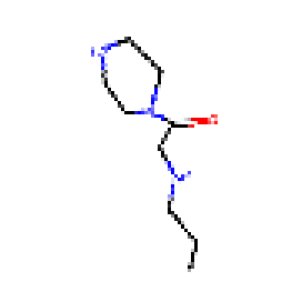 CCCNCC(=O)N1CCNCC1